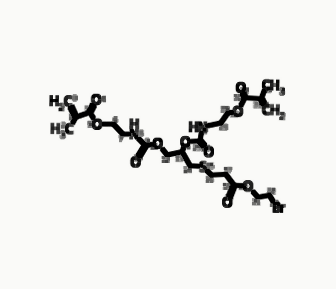 C=C(C)C(=O)OCCNC(=O)OCC(CSCCC(=O)OCCBr)OC(=O)NCCOC(=O)C(=C)C